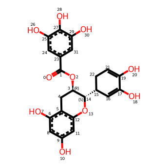 O=C(O[C@@H]1Cc2c(O)cc(O)cc2O[C@H]1C1C=C(O)C(O)=CC1)c1cc(O)c(O)c(O)c1